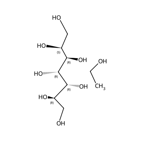 CCO.OC[C@@H](O)[C@@H](O)[C@H](O)[C@H](O)[C@@H](O)CO